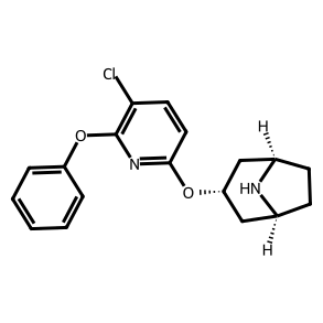 Clc1ccc(O[C@@H]2C[C@H]3CC[C@@H](C2)N3)nc1Oc1ccccc1